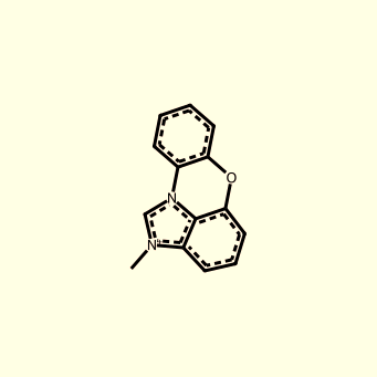 C[n+]1cn2c3c(cccc31)Oc1ccccc1-2